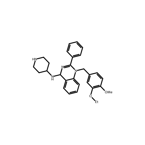 CCOc1cc(CN2C(c3ccccc3)=NC(NC3CCNCC3)c3ccccc32)ccc1OC